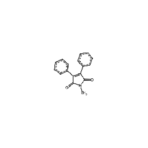 BN1C(=O)C(c2ccccc2)=C(c2ccccc2)C1=O